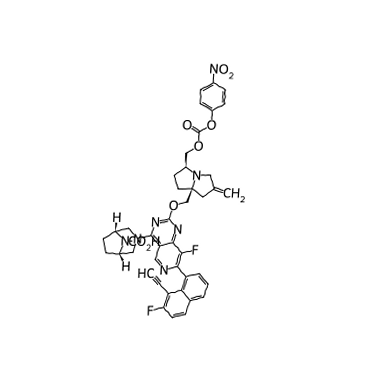 C#Cc1c(F)ccc2cccc(-c3ncc4c(N5C[C@H]6CC[C@@H](C5)N6C(=O)O)nc(OC[C@@]56CC[C@@H](COC(=O)Oc7ccc([N+](=O)[O-])cc7)N5CC(=C)C6)nc4c3F)c12